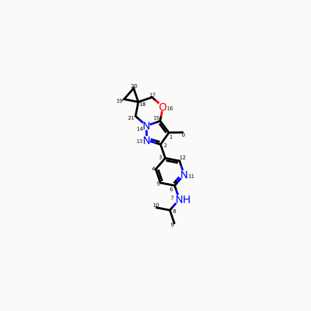 Cc1c(-c2ccc(NC(C)C)nc2)nn2c1OCC1(CC1)C2